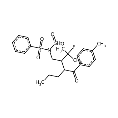 CCCC(C(=O)c1ccc(C)cc1)C(CN([SH](=O)=O)S(=O)(=O)c1ccccc1)C(C)(C)F